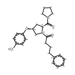 Cc1ccc(O[C@H]2C[C@@H](C(=O)N3CCCC3)N(C(=O)CCCc3ccccc3)C2)cc1